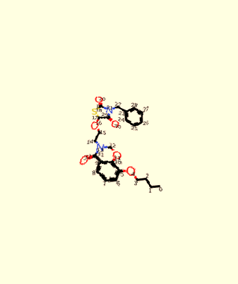 CCCCOc1cccc2c1OCN(CCOC1SC(=O)N(Cc3ccccc3)C1=O)C2=O